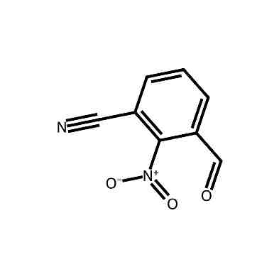 N#Cc1cccc(C=O)c1[N+](=O)[O-]